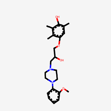 COc1ccccc1N1CCN(CC(O)COc2cc(C)c(O)c(C)c2C)CC1